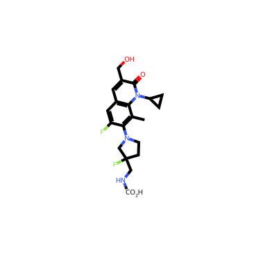 Cc1c(N2CCC(F)(CNC(=O)O)C2)c(F)cc2cc(CO)c(=O)n(C3CC3)c12